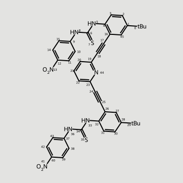 CC(C)(C)c1ccc(NC(=S)Nc2ccc([N+](=O)[O-])cc2)c(C#Cc2cccc(C#Cc3cc(C(C)(C)C)ccc3NC(=S)Nc3ccc([N+](=O)[O-])cc3)n2)c1